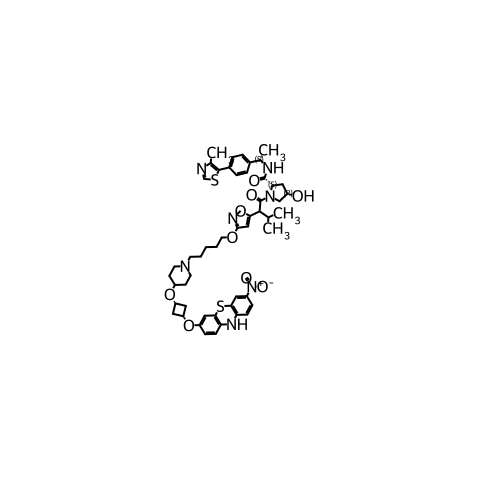 Cc1ncsc1-c1ccc([C@H](C)NC(=O)[C@@H]2C[C@@H](O)CN2C(=O)C(c2cc(OCCCCCN3CCC(O[C@H]4C[C@H](Oc5ccc6c(c5)Sc5cc([N+](=O)[O-])ccc5N6)C4)CC3)no2)C(C)C)cc1